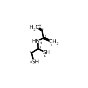 C=CC(=C)NC(S)CS